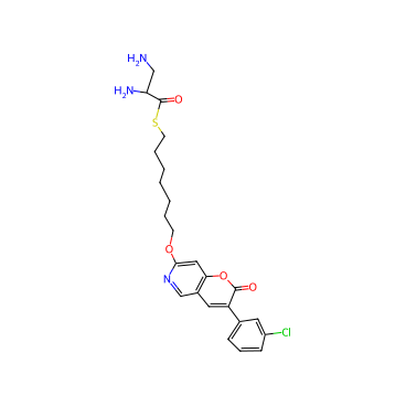 NCC(N)C(=O)SCCCCCCCOc1cc2oc(=O)c(-c3cccc(Cl)c3)cc2cn1